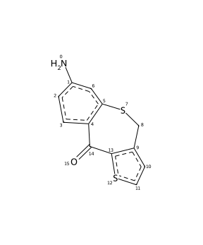 Nc1ccc2c(c1)SCc1ccsc1C2=O